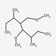 CCC(C)C(COC)C(OC)C(C)CC